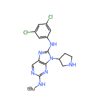 CC(C)(C)Nc1ncc2nc(Nc3cc(Cl)cc(Cl)c3)n(C3CCNC3)c2n1